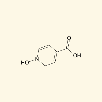 O=C(O)C1=CCN(O)C=C1